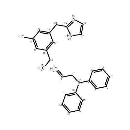 C=CCB(c1ccccc1)c1ccccc1.CCc1cc(F)cc(Cc2ncc[nH]2)c1